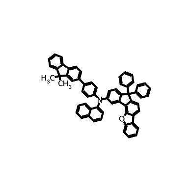 CC1(C)c2ccccc2-c2ccc(-c3ccc(N(c4ccc5c(c4)-c4c(ccc6c4oc4ccccc46)C5(c4ccccc4)c4ccccc4)c4cccc5ccccc45)cc3)cc21